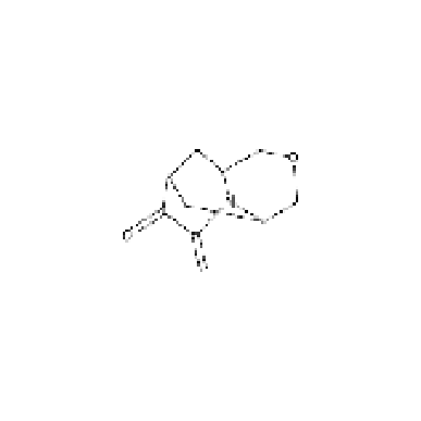 C=C1C(=O)C2CC3COCC(C2)N13